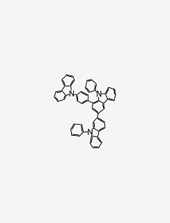 c1ccc(-n2c3ccccc3c3ccc(-c4cc(-c5ccc(-n6c7ccccc7c7ccccc76)cc5)c5c(c4)c4ccccc4n5-c4ccccc4)cc32)cc1